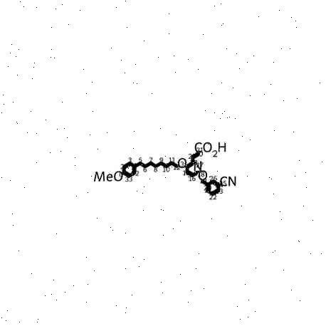 COc1ccc(CCCCCCCCOc2ccc(OCc3cccc(C#N)c3)nc2C=CC(=O)O)cc1